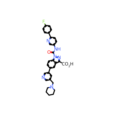 O=C(O)c1nn(C(=O)Nc2ccc(-c3ccc(F)cc3)nc2)c2ccc(-c3cncc(CN4CCCCC4)c3)cc12